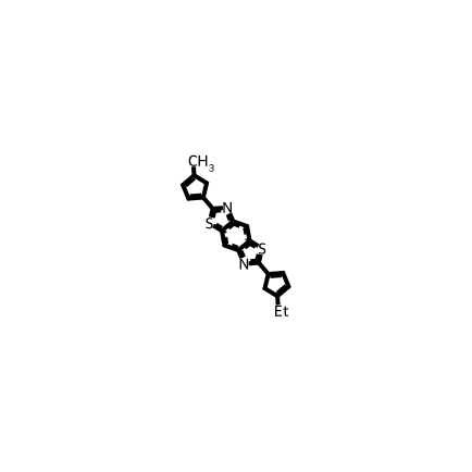 CCC1=CC=C(c2nc3cc4sc(C5=CC=C(C)C5)nc4cc3s2)C1